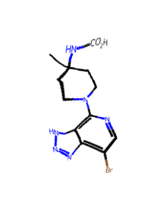 CC1(NC(=O)O)CCN(c2ncc(Br)c3nn[nH]c23)CC1